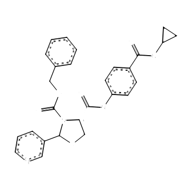 O=C(NC1CC1)c1ccc(NC(=O)[C@@H]2CSC(c3cccnc3)N2C(=O)OCc2ccccc2)cc1